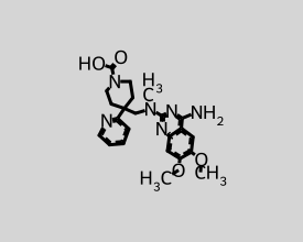 COc1cc2nc(N(C)CC3(c4ccccn4)CCN(C(=O)O)CC3)nc(N)c2cc1OC